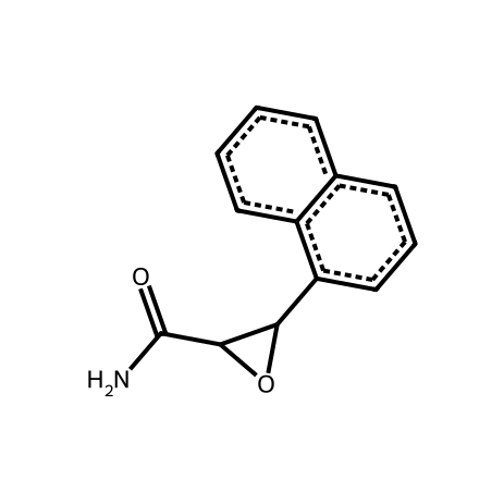 NC(=O)C1OC1c1cccc2ccccc12